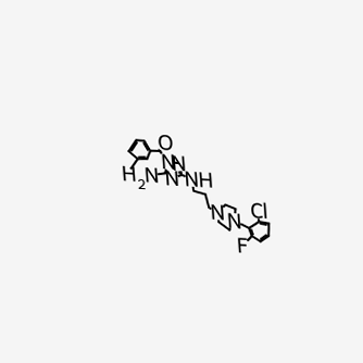 Cc1cccc(C(=O)n2nc(NCCCN3CCN(c4c(F)cccc4Cl)CC3)nc2N)c1